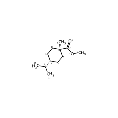 COC(=O)[C@]1(C)CC[C@H](C(C)C)CC1